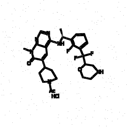 CC(=O)N1CCC(c2cc3c(N[C@H](C)c4cccc(C(F)(F)C5CNCCO5)c4F)ncnc3n(C)c2=O)CC1.Cl